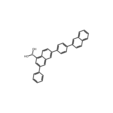 OB(O)c1cc(-c2ccccc2)cc2cc(-c3ccc(-c4ccc5ccccc5c4)cc3)ccc12